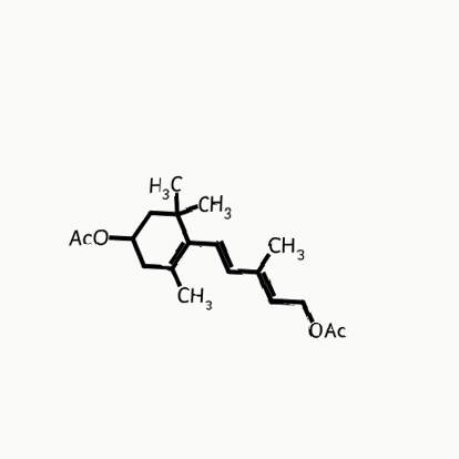 CC(=O)OC/C=C(C)/C=C/C1=C(C)CC(OC(C)=O)CC1(C)C